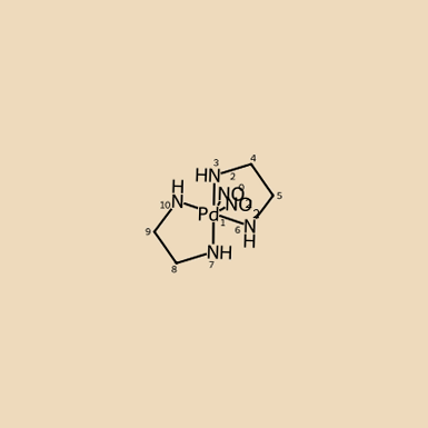 O=[N+]([O-])[Pd]12([N+](=O)[O-])([NH]CC[NH]1)[NH]CC[NH]2